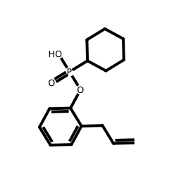 C=CCc1ccccc1OP(=O)(O)C1CCCCC1